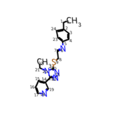 CCc1ccc(/N=C/CSc2nnc(-c3cccnc3)n2CC)cc1